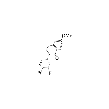 COc1ccc2c(c1)CCN(c1ccc(C(C)C)c(F)c1)C2=O